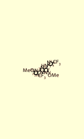 COCc1cc(Nc2ccc(C(F)(F)F)cn2)c2ncc(-c3nc(OC)ccc3C(F)(F)F)nc2n1